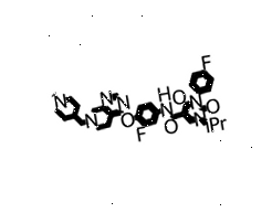 CC(C)n1cc(C(=O)Nc2ccc(Oc3ncnc4c3CCN(CC3CCN(C)CC3)C4)c(F)c2)c(=O)n(-c2ccc(F)cc2)c1=O